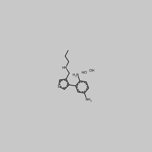 CCCNCc1cscc1-c1cc(N)ccc1N.Cl.Cl